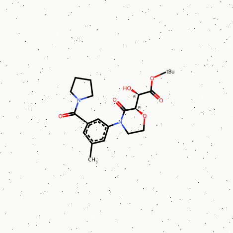 Cc1cc(C(=O)N2CCCC2)cc(N2CCO[C@H]([C@@H](O)C(=O)OC(C)(C)C)C2=O)c1